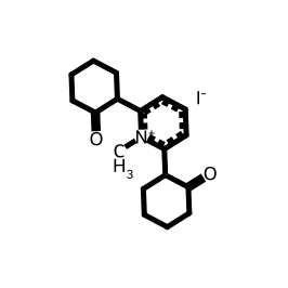 C[n+]1c(C2CCCCC2=O)cccc1C1CCCCC1=O.[I-]